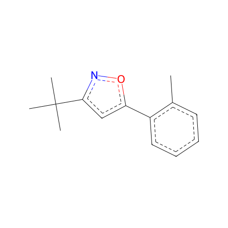 Cc1ccccc1-c1cc(C(C)(C)C)no1